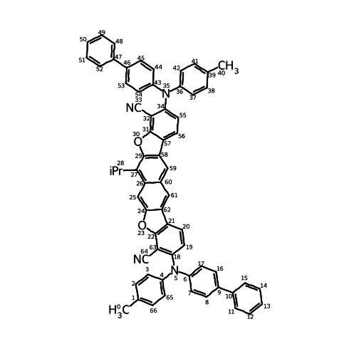 Cc1ccc(N(c2ccc(-c3ccccc3)cc2)c2ccc3c(oc4cc5c(C(C)C)c6oc7c(C#N)c(N(c8ccc(C)cc8)c8ccc(-c9ccccc9)cc8)ccc7c6cc5cc43)c2C#N)cc1